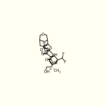 C[C@H](CO)NC(=O)Nc1nc2c(s1)C1COCC(C2)N1c1nc(-c2cccc(C(F)F)c2)no1